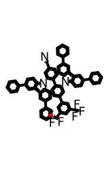 N#Cc1ccc(-c2ccc(-c3cc(C(F)(F)F)cc(C(F)(F)F)c3)cc2-n2c3ccc(-c4ccccc4)cc3c3cc(-c4ccccc4)ccc32)c(-n2c3ccc(-c4ccccc4)cc3c3cc(-c4ccccc4)ccc32)c1